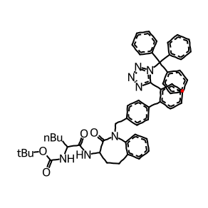 CCCCC(NC(=O)OC(C)(C)C)C(=O)NC1CCc2ccccc2N(Cc2ccc(-c3ccccc3-c3nnnn3C(c3ccccc3)(c3ccccc3)c3ccccc3)cc2)C1=O